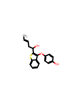 CC=CCC(O)c1sc2ccccc2c1Oc1ccc(O)cc1